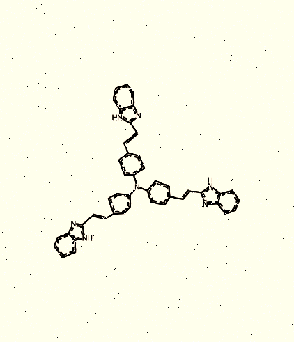 C(=C\c1nc2ccccc2[nH]1)/c1ccc(N(c2ccc(/C=C/c3nc4ccccc4[nH]3)cc2)c2ccc(/C=C/c3nc4ccccc4[nH]3)cc2)cc1